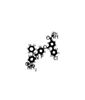 CC(C)NC(=O)c1ccc(-c2ccc(Cl)cc2)c(COc2ccc(-c3nc4cc(S(N)(=O)=O)ccc4n3C3CCCCC3)c(F)c2)c1